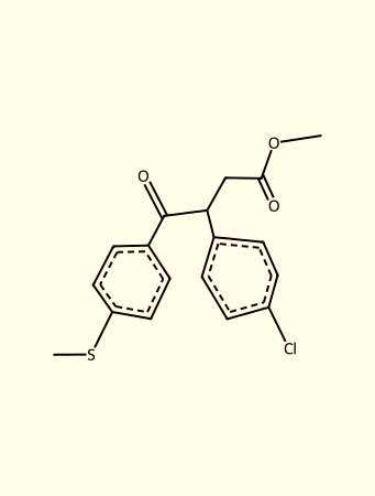 COC(=O)CC(C(=O)c1ccc(SC)cc1)c1ccc(Cl)cc1